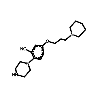 N#Cc1cc(OCCCN2CCCCC2)ccc1N1CCNCC1